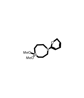 CO[Si]1(OC)CCCN(C2=CC=CCO2)CCC1